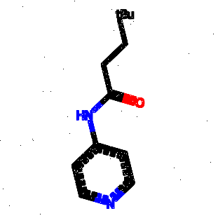 CC(C)(C)CCC(=O)Nc1ccncc1